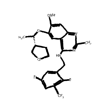 COc1cc2nc(C)nc(NCc3cc(F)cc(C(F)(F)F)c3F)c2cc1OC(C)[C@@H]1CCOC1